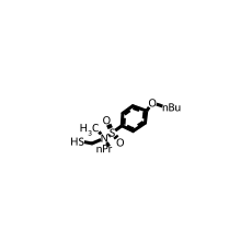 CCCCOc1ccc(S(=O)(=O)[N+](C)(CS)CCC)cc1